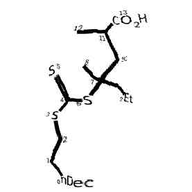 CCCCCCCCCCCCSC(=S)SC(C)(CC)CC(C)C(=O)O